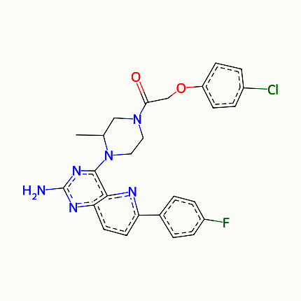 CC1CN(C(=O)COc2ccc(Cl)cc2)CCN1c1nc(N)nc2ccc(-c3ccc(F)cc3)nc12